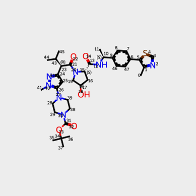 Cc1ncsc1-c1ccc([C@H](C)NC(=O)[C@@H]2C[C@@H](O)CN2C(=O)[C@@H](c2cc(N3CCN(C(=O)OC(C)(C)C)CC3)n(C)n2)C(C)C)cc1